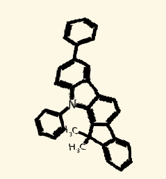 CC1(C)c2ccccc2-c2ccc3c4cc(-c5ccccc5)ccc4n(-c4ccccc4)c3c21